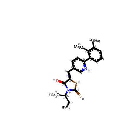 COc1cccc(-c2ccc(/C=C3\SC(=S)N([C@@H](CC(C)C)C(=O)O)C3=O)cn2)c1OC